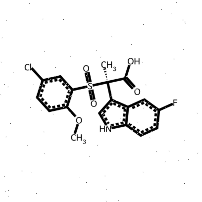 COc1ccc(Cl)cc1S(=O)(=O)[C@@](C)(C(=O)O)c1c[nH]c2ccc(F)cc12